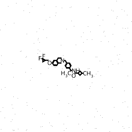 CC1CC(C(=O)N[C@@H](C)c2ccc(CN3CCc4cc(OCC5CC5(F)F)ccc4C3)cc2)C1